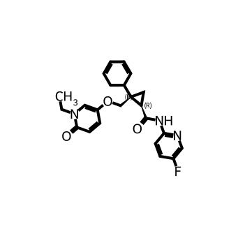 CCn1cc(OC[C@@]2(C3C=CC=CC3)C[C@H]2C(=O)Nc2ccc(F)cn2)ccc1=O